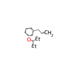 C=CCc1ccccc1.CCC(=O)CC